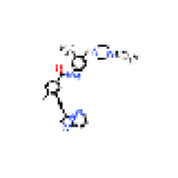 Cc1ccc(C(=O)Nc2ccc(CN3CCN(C(=O)O)CC3)c(C(F)(F)F)c2)cc1C#Cc1cnc2cccnn12